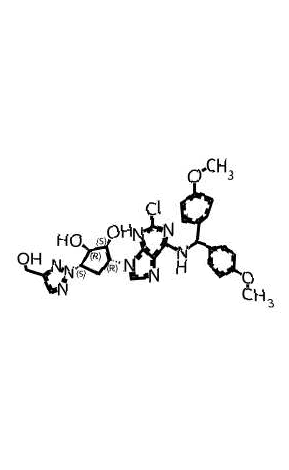 COc1ccc(C(Nc2nc(Cl)nc3c2ncn3[C@@H]2C[C@H](n3ncc(CO)n3)[C@@H](O)[C@H]2O)c2ccc(OC)cc2)cc1